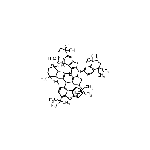 CC(C)(C)C1=CC2=C3B(C4=C(CC5C(=C4)C(C)(C)CCC5(C)C)N2c2ccc(C(C)(C)C)c4oc5ccccc5c24)c2c(sc4cc5c(cc24)C(C)(C)CCC5(C)C)N(c2ccc4c(c2)C(C)(C)CCC4(C)C)C3C1